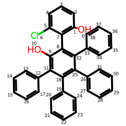 Oc1cccc(Cl)c1-c1c(O)c(-c2ccccc2)c(-c2ccccc2)c(-c2ccccc2)c1-c1ccccc1